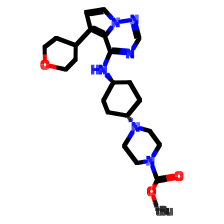 CC(C)(C)OC(=O)N1CCN([C@H]2CC[C@H](Nc3ncnn4ccc(C5CCOCC5)c34)CC2)CC1